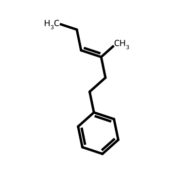 CCC=C(C)CCc1ccccc1